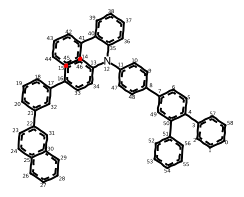 c1ccc(-c2ccc(-c3ccc(N(c4ccc(-c5cccc(-c6ccc7ccccc7c6)c5)cc4)c4ccccc4-c4ccccc4)cc3)cc2-c2ccccc2)cc1